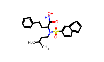 CC(C)CCN(C(CCc1ccccc1)C(=O)NO)S(=O)(=O)c1ccc2ccccc2c1